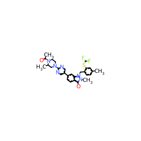 CC(=O)N1CCN(c2ncc(-c3ccc4c(=O)n(C)n(Cc5ccc(C)cc5SC(F)F)c4c3)cn2)CC1C